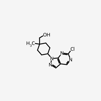 CC1(CO)CCC(n2ncc3cnc(Cl)nc32)CC1